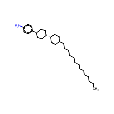 CCCCCCCCCCCCCCC1CCC([C@H]2CC[C@H](c3ccc(N)cc3)CC2)CC1